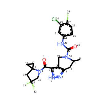 CC1Cc2n[nH]c(C(=O)N3CC(F)(F)CC34CC4)c2CN1C(=O)Nc1ccc(F)c(Cl)c1